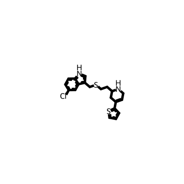 Clc1ccc2[nH]cc(CSCCC3CC(c4cccs4)=CCN3)c2c1